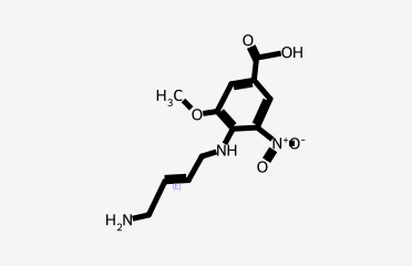 COc1cc(C(=O)O)cc([N+](=O)[O-])c1NC/C=C/CN